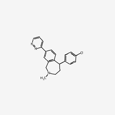 CN1CCC(c2ccc(Cl)cc2)c2ccc(-c3cccnn3)cc2C1